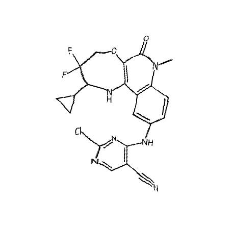 Cn1c(=O)c2c(c3cc(Nc4nc(Cl)ncc4C#N)ccc31)NC(C1CC1)C(F)(F)CO2